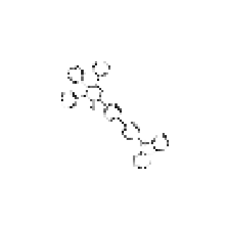 C1=CC(n2c3ccccc3c3ccncc32)CC=C1c1ccc(C2=NC(c3ccccc3)=C(c3ccccc3)C(c3ccccc3)N2)cc1